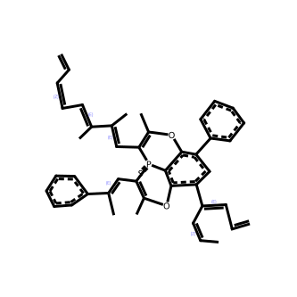 C=C\C=C/C=C(C)/C(C)=C/C1=C(C)Oc2c(-c3ccccc3)cc(C(/C=C\C)=C/C=C)c3c2P1(=S)C(/C=C(\C)c1ccccc1)=C(C)O3